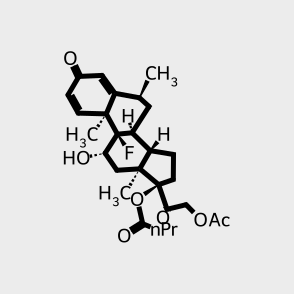 CCCC(=O)O[C@]1(C(=O)COC(C)=O)CC[C@H]2[C@@H]3C[C@H](C)C4=CC(=O)C=C[C@]4(C)[C@@]3(F)[C@@H](O)C[C@@]21C